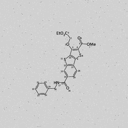 CCOC(=O)COc1c(C(=O)OC)sc2c1sc1cc(C(=O)NCc3ccccc3)ccc12